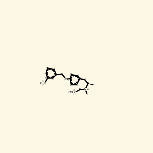 C[C@H](Cc1ccc(OCc2cccc([N+](=O)[O-])c2)cc1)N(C)CC(=O)O